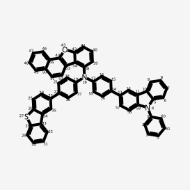 c1ccc(-n2c3ccccc3c3cc(-c4ccc(N(c5ccc(-c6ccc7sc8ccccc8c7c6)cc5)c5cccc6oc7c8ccccc8ccc7c56)cc4)ccc32)cc1